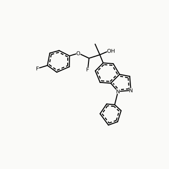 CC(O)(c1ccc2c(cnn2-c2ccccc2)c1)C(F)Oc1ccc(F)cc1